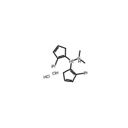 CC(C)C1=[C]([Hf]([C]2=C(C(C)C)C=CC2)[SiH](C)C)CC=C1.Cl.Cl